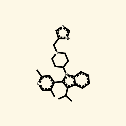 Cc1cc(-c2c(C(C)C)c3ccccc3n2C2CCN(Cc3cnc[nH]3)CC2)c(C)cn1